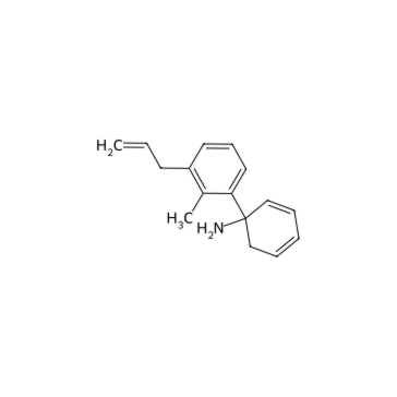 C=CCc1cccc(C2(N)C=CC=CC2)c1C